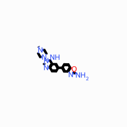 CN1CCN(n2cnc3ccc(-c4ccc5oc(N)nc5c4)cc3c2=N)CC1